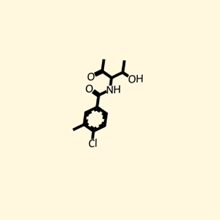 CC(=O)C(NC(=O)c1ccc(Cl)c(C)c1)C(C)O